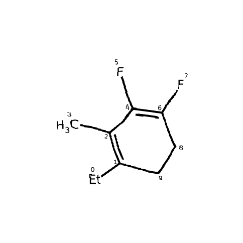 CCC1=C(C)C(F)=C(F)CC1